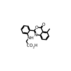 Cc1cccc2nc(-c3ccccc3NCC(=O)O)oc(=O)c12